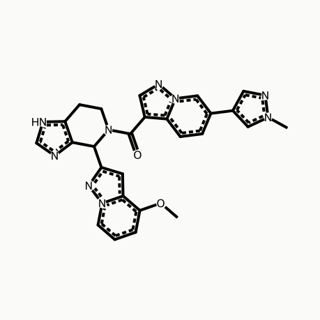 COc1cccn2nc(C3c4nc[nH]c4CCN3C(=O)c3cnn4cc(-c5cnn(C)c5)ccc34)cc12